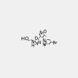 Cc1c(Nc2ccc(Br)cc2F)c(-c2nnc(NCCO)o2)cn(C)c1=O